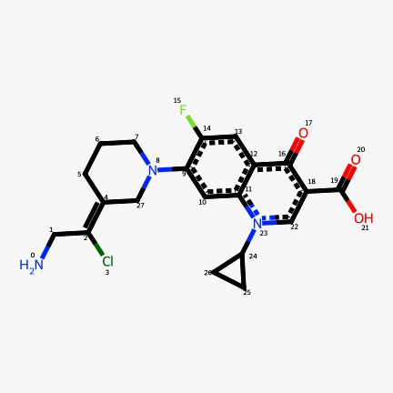 NC/C(Cl)=C1\CCCN(c2cc3c(cc2F)c(=O)c(C(=O)O)cn3C2CC2)C1